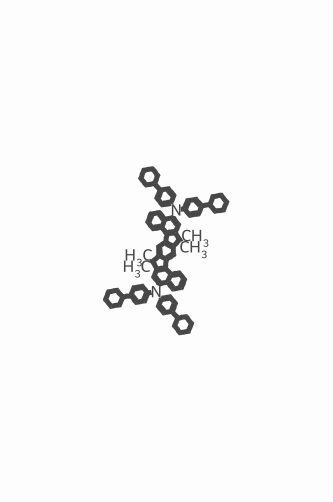 CC1(C)c2cc3c(cc2-c2c1cc(N(c1ccc(C4CCCCC4)cc1)c1ccc(C4CCCCC4)cc1)c1ccccc21)C(C)(C)c1cc(N(c2ccc(C4CCCCC4)cc2)c2ccc(C4CCCCC4)cc2)c2ccccc2c1-3